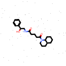 O=C(CCCC(=O)N1CCCC2CCCCC21)NCC(O)c1ccccc1